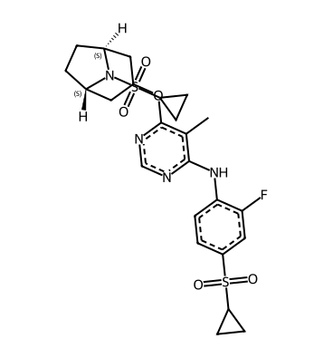 Cc1c(Nc2ccc(S(=O)(=O)C3CC3)cc2F)ncnc1OC1C[C@@H]2CC[C@@H](C1)N2S(=O)(=O)C1CC1